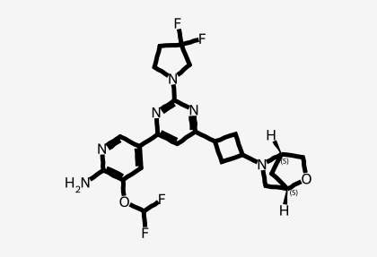 Nc1ncc(-c2cc(C3CC(N4C[C@@H]5C[C@H]4CO5)C3)nc(N3CCC(F)(F)C3)n2)cc1OC(F)F